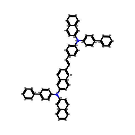 C(=C\c1ccc2cc(N(c3ccc(-c4ccccc4)cc3)c3ccc4ccccc4c3)ccc2c1)/c1ccc(N(c2ccc(-c3ccccc3)cc2)c2ccc3ccccc3c2)cc1